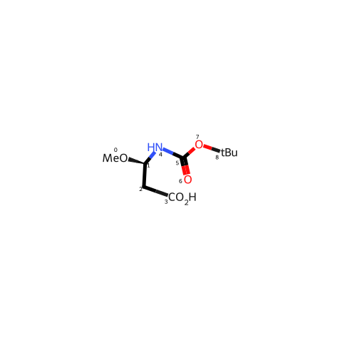 CO[C@H](CC(=O)O)NC(=O)OC(C)(C)C